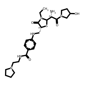 CCN1C(=O)[C@@H](CNc2ccc(C(=O)NCCN3CCCC3)cc2)SC1[C@H](N)C(=O)N1CCC(O)C1